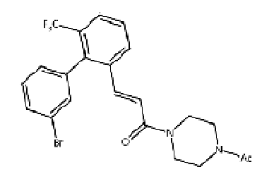 CC(=O)N1CCN(C(=O)/C=C/c2cc[c]c(C(F)(F)F)c2-c2cccc(Br)c2)CC1